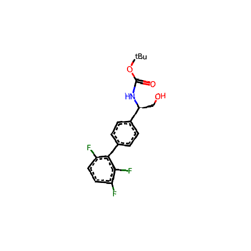 CC(C)(C)OC(=O)N[C@@H](CO)c1ccc(-c2c(F)ccc(F)c2F)cc1